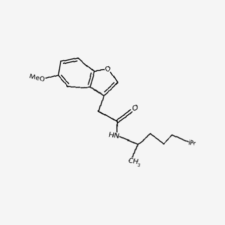 COc1ccc2occ(CC(=O)NC(C)CCCC(C)C)c2c1